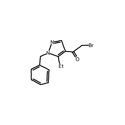 CCc1c(C(=O)CBr)cnn1Cc1ccccc1